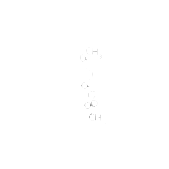 CCCC(=O)Oc1ccc(C(=O)C[C@H]2CC[C@H](CCC(=O)CC)CC2)cc1